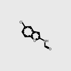 O=CNc1cc2cc(Cl)ccc2o1